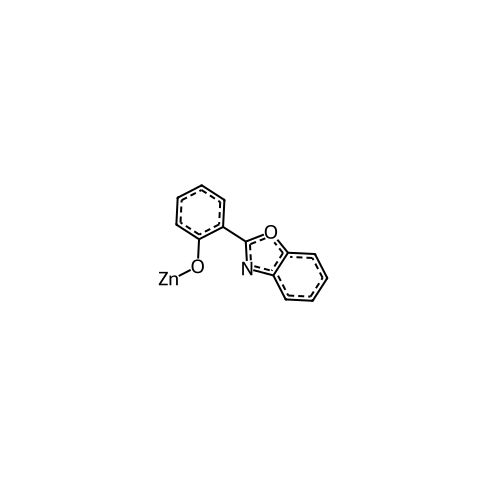 [Zn][O]c1ccccc1-c1nc2ccccc2o1